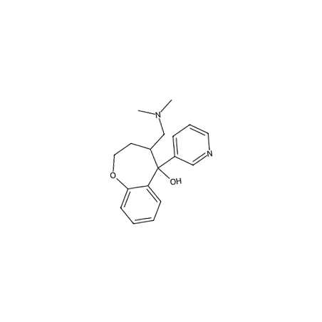 CN(C)CC1CCOc2ccccc2C1(O)c1cccnc1